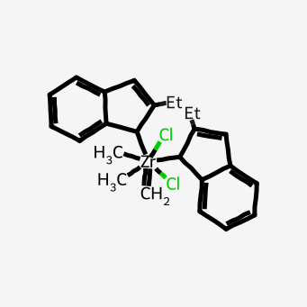 [CH2]=[Zr]([CH3])([CH3])([Cl])([Cl])([CH]1C(CC)=Cc2ccccc21)[CH]1C(CC)=Cc2ccccc21